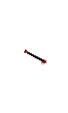 C1CC1.CCCCCCCC/C=C/CCCCCCCC(=O)OC